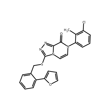 Cc1c(Cl)cccc1-n1ccn2c(SCc3ccccc3-c3ccco3)nnc2c1=O